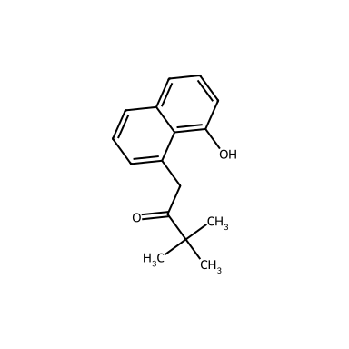 CC(C)(C)C(=O)Cc1cccc2cccc(O)c12